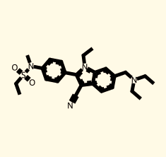 CCN(CC)Cc1ccc2c(C#N)c(-c3ccc(N(C)S(=O)(=O)CC)cc3)n(CC)c2c1